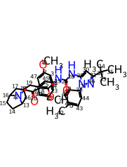 COc1ccc(OC)c(C(=O)CN2C3CCC2CC(Cc2cccc(NC(=O)Nc4cc(C(C)(C)C)nn4-c4ccc(C)cc4)c2)C3)c1